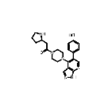 Cl.O=C(CC1CCCN1)N1CCN(c2c(-c3ccccc3)cnc3[nH]ncc23)CC1